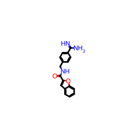 N=C(N)c1ccc(CNC(=O)c2cc3ccccc3o2)cc1